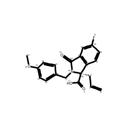 C=CC[C@@]1(C(=O)O)c2ccc(F)cc2C(=O)N1Cc1ccc(OC)cc1